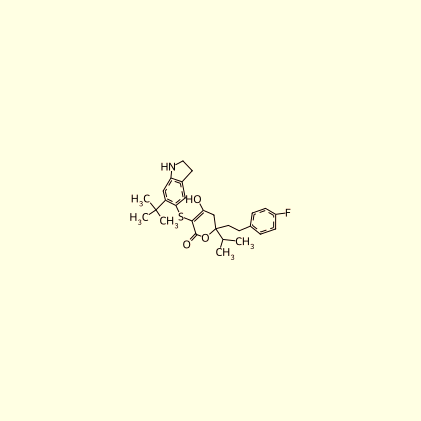 CC(C)C1(CCc2ccc(F)cc2)CC(O)=C(Sc2cc3c(cc2C(C)(C)C)NCC3)C(=O)O1